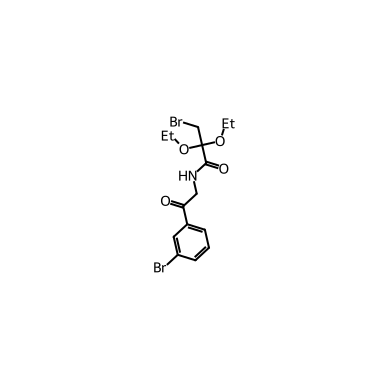 CCOC(CBr)(OCC)C(=O)NCC(=O)c1cccc(Br)c1